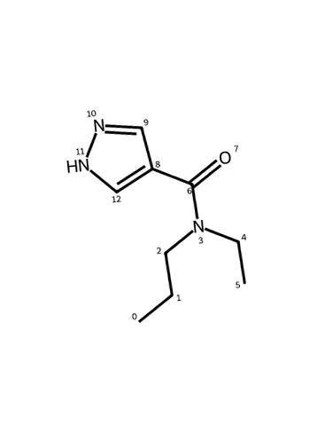 CCCN(CC)C(=O)c1cn[nH]c1